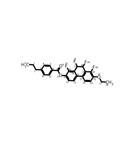 CCCc1ccc(C(=O)Oc2ccc3c(c2F)C(F)C(F)c2c-3ccc(OCC)c2F)cc1